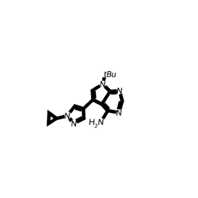 CC(C)(C)n1cc(-c2cnn(C3CC3)c2)c2c(N)ncnc21